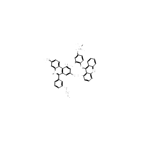 CC[n+]1c(-c2ccccc2)c2cc(N)ccc2c2ccc(N)cc21.COc1cc(NS(C)(=O)=O)ccc1Nc1c2ccccc2nc2ccccc12.[N-]=[N+]=[N-]